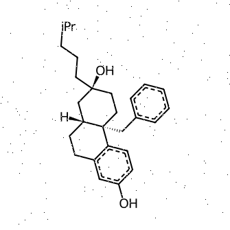 CC(C)CCC[C@]1(O)CC[C@@]2(Cc3ccccc3)c3ccc(O)cc3CC[C@@H]2C1